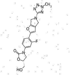 Cn1nnc(N2Cc3cc(-c4ccc(N5C[C@H](CO)OC5=O)cc4F)oc3C2)n1